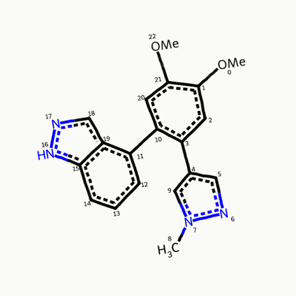 COc1cc(-c2cnn(C)c2)c(-c2cccc3[nH]ncc23)cc1OC